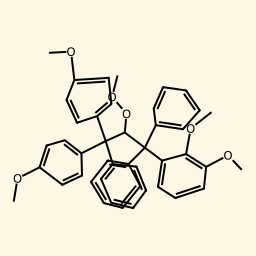 COOC(C(c1ccccc1)(c1ccc(OC)cc1)c1ccc(OC)cc1)C(c1ccccc1)(c1ccccc1)c1cccc(OC)c1OC